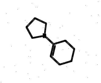 C1=C(B2CCCC2)CCCC1